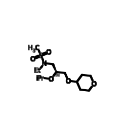 CCN(C[C@@H](COC1CCOCC1)OC(C)C)S(C)(=O)=O